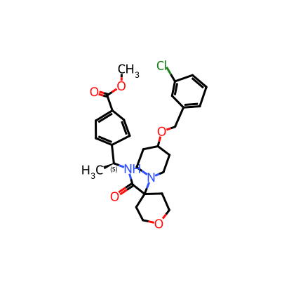 COC(=O)c1ccc([C@H](C)NC(=O)C2(N3CCC(OCc4cccc(Cl)c4)CC3)CCOCC2)cc1